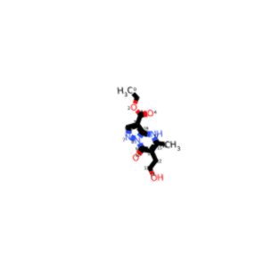 CCOC(=O)c1cnn2c(=O)c(CCO)c(C)[nH]c12